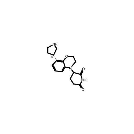 O=C1CCC(N2CCOc3c([C@@H]4CCNC4)cccc32)C(=O)N1